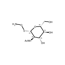 CC(=O)N[C@H]1[C@H](OON)O[C@H](CO)[C@@H](O)[C@@H]1O